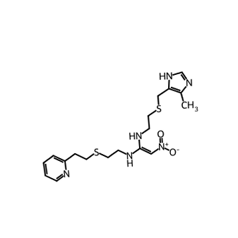 Cc1nc[nH]c1CSCCNC(=C[N+](=O)[O-])NCCSCCc1ccccn1